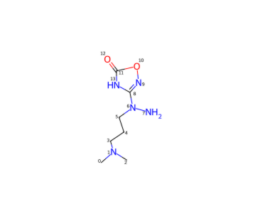 CN(C)CCCN(N)c1noc(=O)[nH]1